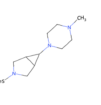 CSN1CC2C(C1)C2N1CCN(C)CC1